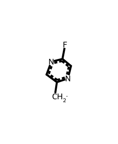 [CH2]c1cnc(F)cn1